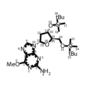 COc1nc(N)nc2c1ncn2[C@@H]1C[C@H](O[Si](C)(C)C(C)(C)C)[C@@H](CO[Si](C)(C)C(C)(C)C)O1